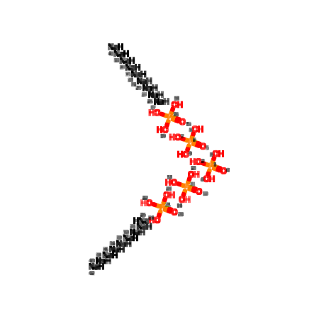 O=P(O)(O)O.O=P(O)(O)O.O=P(O)(O)O.O=P(O)(O)O.O=P(O)(O)O.[NaH].[NaH].[NaH].[NaH].[NaH].[NaH].[NaH].[NaH].[NaH].[NaH].[NaH].[NaH].[NaH].[NaH].[NaH].[NaH].[NaH].[NaH]